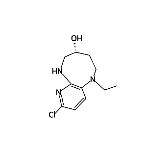 CCN1CC[C@@H](O)CNc2nc(Cl)ccc21